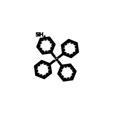 [SiH4].c1ccc([Si](c2ccccc2)(c2ccccc2)c2ccccc2)cc1